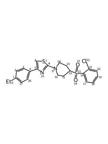 CCc1ccc(-c2csc(N3CCC(S(=O)(=O)c4ccccc4Cl)CC3)n2)cc1